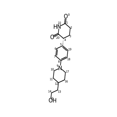 O=C1CC[C@H](c2ccc(N3CCC(CCO)CC3)cc2)C(=O)N1